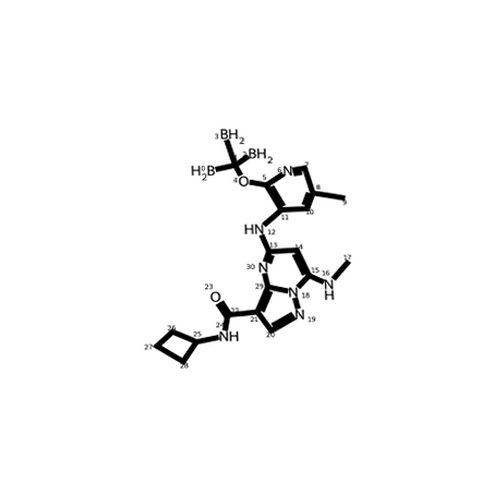 BC(B)(B)Oc1ncc(C)cc1Nc1cc(NC)n2ncc(C(=O)NC3CCC3)c2n1